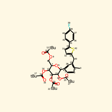 Cc1ccc(C2OC(COC(=O)C(C)(C)C)C(OC(=O)C(C)(C)C)C(OC(=O)C(C)(C)C)C2OC(=O)C(C)(C)C)cc1Cc1ccc(-c2ccc(F)cc2)s1